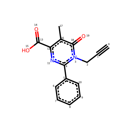 C#CCn1c(-c2ccccc2)nc(C(=O)O)c(C)c1=O